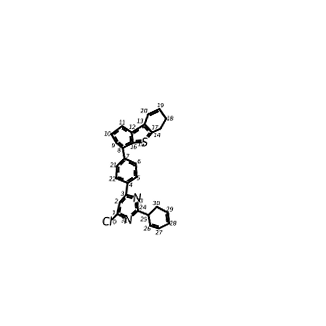 Clc1cc(-c2ccc(-c3cccc4c5c(sc34)CCC=C5)cc2)nc(C2C=CC=CC2)n1